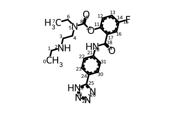 CCNCCN(CC)C(=O)Oc1ccc(F)cc1C(=O)Nc1ccc(-c2nnn[nH]2)cc1